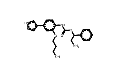 NCC(OC(=O)Nc1ccc(-c2cn[nH]c2)cc1OCCCO)c1ccccc1